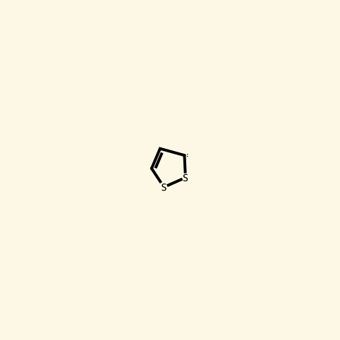 [C]1C=CSS1